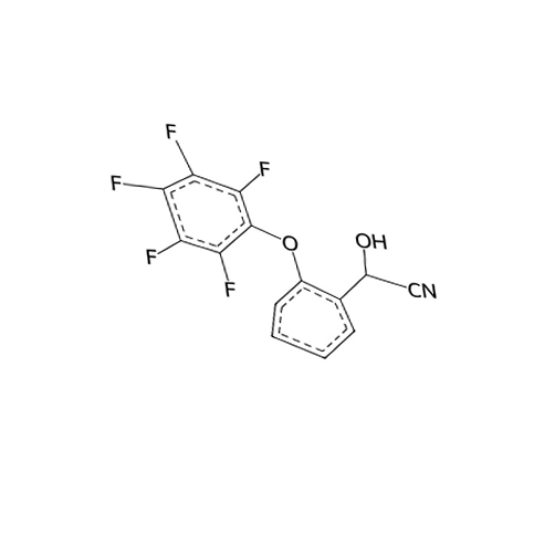 N#CC(O)c1ccccc1Oc1c(F)c(F)c(F)c(F)c1F